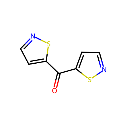 O=C(c1ccns1)c1ccns1